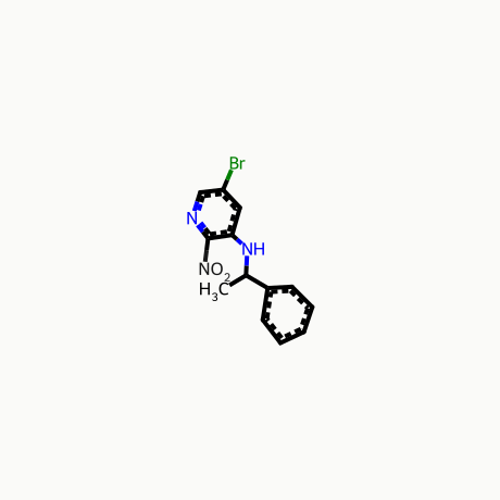 CC(Nc1cc(Br)cnc1[N+](=O)[O-])c1ccccc1